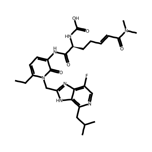 CCc1ccc(NC(=O)[C@H](CC/C=C/C(=O)N(C)C)NC(=O)O)c(=O)n1Cc1nc2c(F)cnc(CC(C)C)c2[nH]1